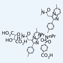 CCCN(CCC)S(=O)(=O)c1ccc(C(=O)O)cc1.Cc1ccc(-c2nc3ccc(C)cn3c2CC(=O)N(C)C)cc1.Cc1ccc(-c2nc3ccc(C)cn3c2CC(=O)N(C)C)cc1.O=C(O)C(O)C(O)C(=O)O